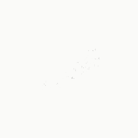 CC(C)(C)NCCC(=O)OCC(=O)NC1=NC(O)N([C@@H]2O[C@H](CO)[C@@H](O)C2(F)F)C=C1